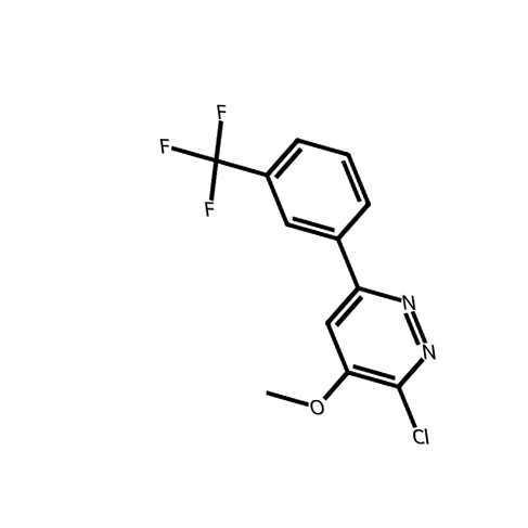 COc1cc(-c2cccc(C(F)(F)F)c2)nnc1Cl